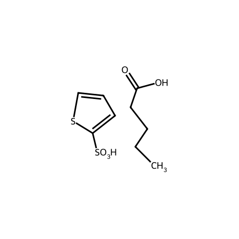 CCCCC(=O)O.O=S(=O)(O)c1cccs1